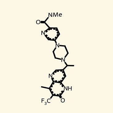 CNC(=O)c1ccc(N2CCN(C(C)c3cnc4c(C)c(C(F)(F)F)c(=O)[nH]c4c3)CC2)cn1